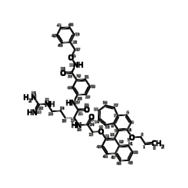 C=CCOc1ccc2c(c1-c1c(OCC(=O)N[C@H](CCCNC(=N)N)C(=O)Nc3cccc(C(=O)NOCc4ccccc4)c3)ccc3ccccc13)C=C=CC=C2